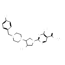 COC(=O)c1cnc(N2CC(O)C(N3CCN(Cc4ccc(Cl)cc4)CC3)C2)nc1C(F)(F)F